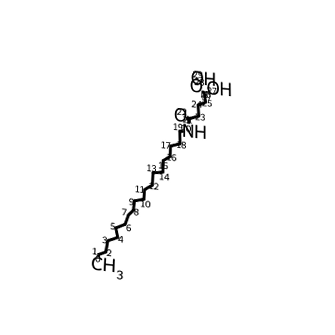 CCCCCCCCCCCCCCCCCCCCNC(=O)CCC[C@@H](O)OO